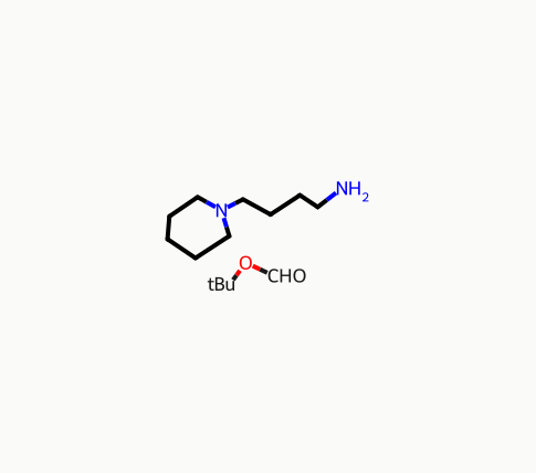 CC(C)(C)OC=O.NCCCCN1CCCCC1